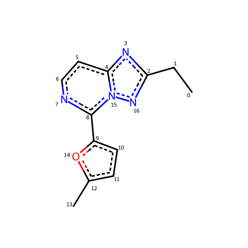 CCc1nc2ccnc(-c3ccc(C)o3)n2n1